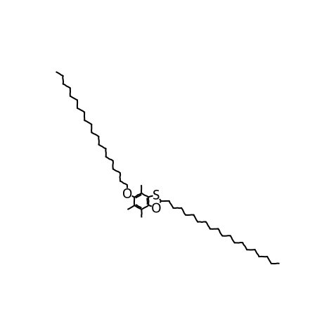 CCCCCCCCCCCCCCCCCCCCOc1c(C)c(C)c2c(c1C)SC(CCCCCCCCCCCCCCCCCCC)O2